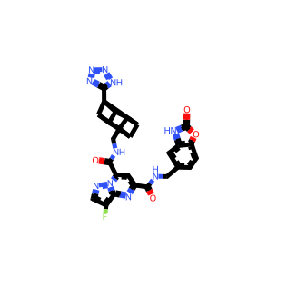 O=C(NCc1ccc2oc(=O)[nH]c2c1)c1cc(C(=O)NCC23C4C5C2C2C3C4C52c2nnn[nH]2)n2ncc(F)c2n1